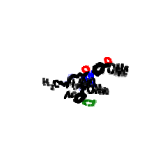 C=C/C=C\C=C/CCC(C(=O)Nc1ccc(C(=O)OC)cc1)N(C)/C=C(OC)\C(=C/C=O)c1cc(Cl)ccc1C(C)=O